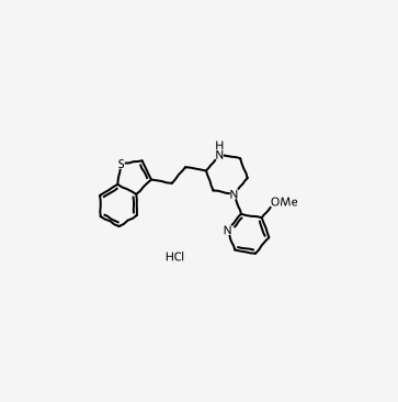 COc1cccnc1N1CCNC(CCc2csc3ccccc23)C1.Cl